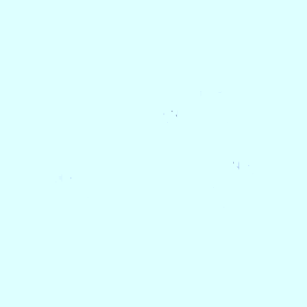 CCCCCC(C(O)CC(C(O)C/C=C\CCCCC=O)[N+](=O)[O-])[N+](=O)[O-]